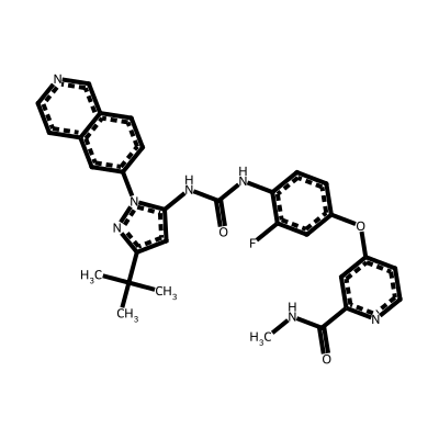 CNC(=O)c1cc(Oc2ccc(NC(=O)Nc3cc(C(C)(C)C)nn3-c3ccc4cnccc4c3)c(F)c2)ccn1